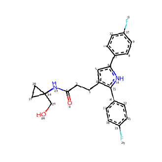 O=C(CCc1cc(-c2ccc(F)cc2)[nH]c1-c1ccc(F)cc1)NC1(CO)CC1